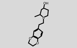 CC1CC(O)CCN1CCc1ccc2c(c1)OCCO2